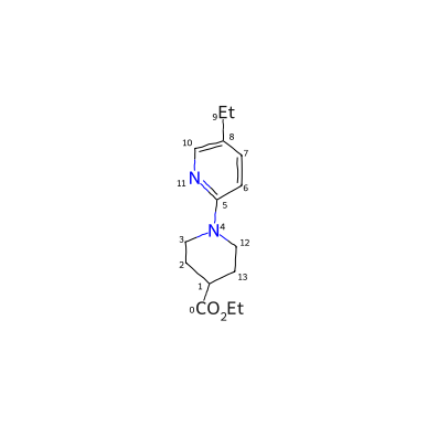 CCOC(=O)C1CCN(c2ccc(CC)cn2)CC1